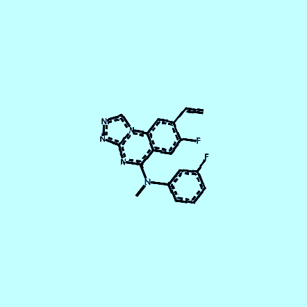 C=Cc1cc2c(cc1F)c(N(C)c1cccc(F)c1)nc1nncn12